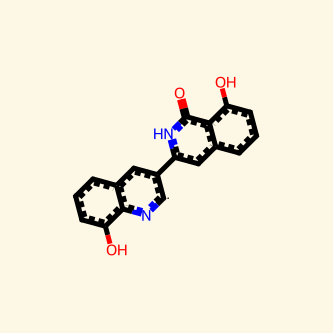 O=c1[nH]c(-c2[c]nc3c(O)cccc3c2)cc2cccc(O)c12